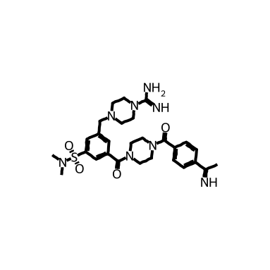 CC(=N)c1ccc(C(=O)N2CCN(C(=O)c3cc(CN4CCN(C(=N)N)CC4)cc(S(=O)(=O)N(C)C)c3)CC2)cc1